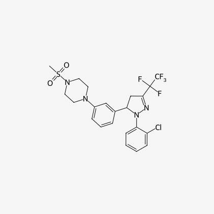 CS(=O)(=O)N1CCN(c2cccc(C3CC(C(F)(F)C(F)(F)F)=NN3c3ccccc3Cl)c2)CC1